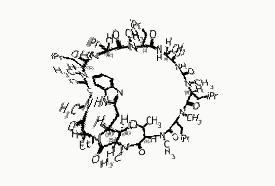 CC[C@@H]1C(=O)N(C)CC(=O)N(C)[C@@H](CC(C)C)C(=O)N[C@H](C(C)C)C(=O)N(C)[C@@H](CC(C)C)C(=O)N[C@H](C)C(=O)NC(=O)N(C)[C@H](CC(C)C)C(=O)N(C)C(CC(C)C)C(=O)N(C)[C@@H]2C(=O)N(C)[C@@H]3C(=O)N1[C@H](Cc1nc4ccccc4[nH]1)[C@H]3OC2C